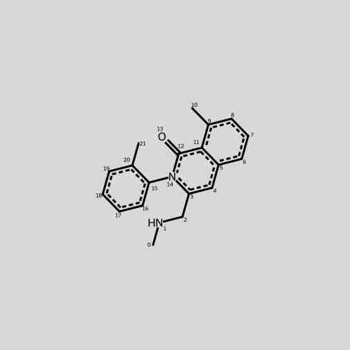 CNCc1cc2cccc(C)c2c(=O)n1-c1ccccc1C